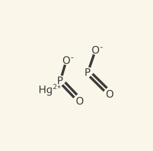 O=P[O-].O=P[O-].[Hg+2]